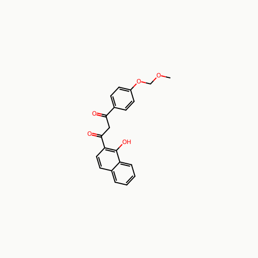 COCOc1ccc(C(=O)CC(=O)c2ccc3ccccc3c2O)cc1